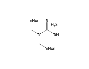 CCCCCCCCCCN(CCCCCCCCCC)C(=S)S.S